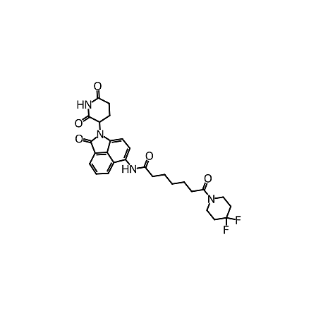 O=C1CCC(N2C(=O)c3cccc4c(NC(=O)CCCCCC(=O)N5CCC(F)(F)CC5)ccc2c34)C(=O)N1